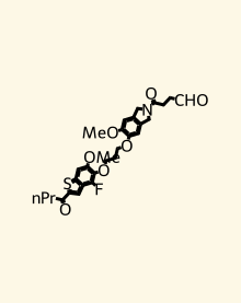 CCCC(=O)c1cc2c(F)c(OCCCOc3cc4c(cc3OC)CN(C(=O)CCC=O)C4)c(OC)cc2s1